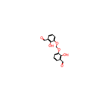 O=Cc1cccc(OCOc2cccc(C=O)c2O)c1O